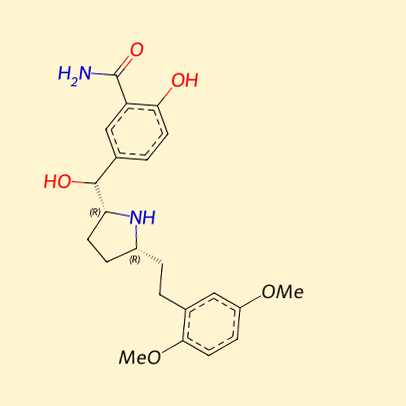 COc1ccc(OC)c(CC[C@@H]2CC[C@H](C(O)c3ccc(O)c(C(N)=O)c3)N2)c1